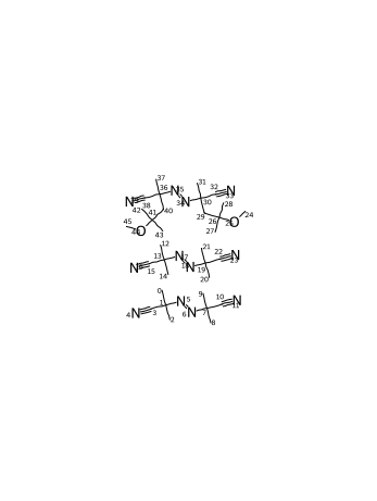 CC(C)(C#N)N=NC(C)(C)C#N.CC(C)(C#N)N=NC(C)(C)C#N.COC(C)(C)CC(C)(C#N)N=NC(C)(C#N)CC(C)(C)OC